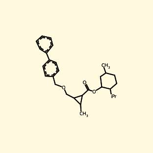 CC1CCC(C(C)C)C(OC(=O)C2C(C)C2COCc2ccc(-c3ccccc3)cc2)C1